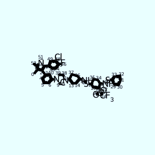 Cc1c(-c2cccc(N3CCN(C4=CC=C(NSC5C=C(S(=O)(=O)C(F)(F)F)C(NSc6ccccc6)CC5)CC4)CC3)c2)c(-c2ccc(F)c(Cl)c2)n(C)c1C